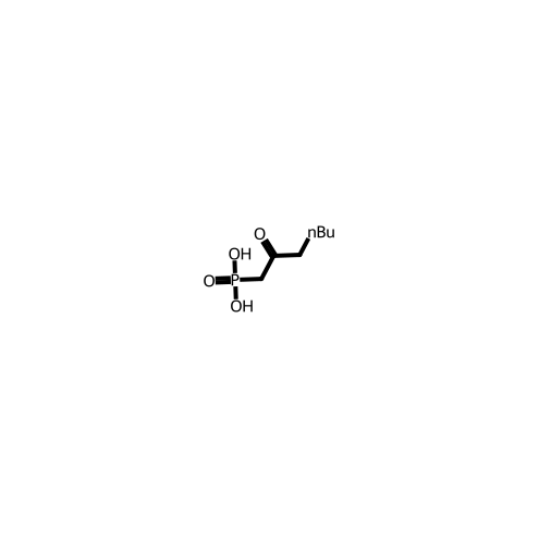 CCCCCC(=O)CP(=O)(O)O